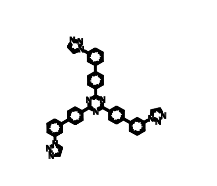 c1cc(-c2ccc(-c3nc(-c4ccc(-c5cccc(-n6ccnn6)c5)cc4)nc(-c4ccc(-c5cccc(-n6ccnn6)c5)cc4)n3)cc2)cc(-n2ccnn2)c1